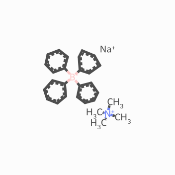 C[N+](C)(C)C.[Na+].c1ccc([B-](c2ccccc2)(c2ccccc2)c2ccccc2)cc1